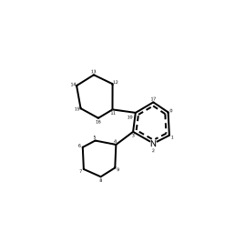 c1cnc(C2CCCCC2)c(C2CCCCC2)c1